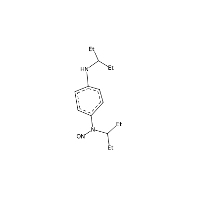 CCC(CC)Nc1ccc(N(N=O)C(CC)CC)cc1